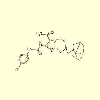 NC(=O)c1c(NC(=O)Nc2ccc(Cl)cc2)sc2c1CCN(CC13CC4CC(CC(C4)C1)C3)C2